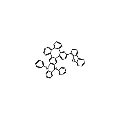 c1ccc(-n2c3ccccc3n(-c3ccccc3)c3cc4c5ccc(-c6cccc7c6oc6ccccc67)cc5c5ccccc5c5ccccc5c4cc32)cc1